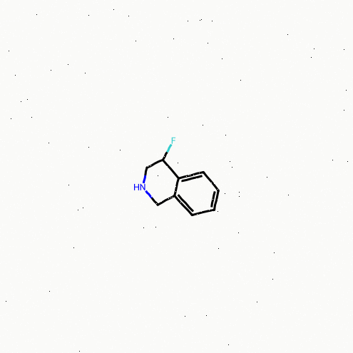 FC1CNCc2ccccc21